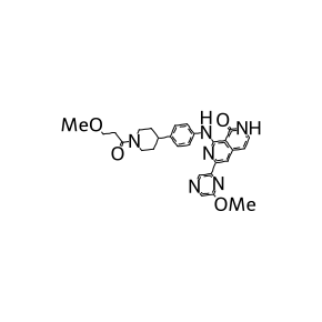 COCCC(=O)N1CCC(c2ccc(Nc3nc(-c4cncc(OC)n4)cc4cc[nH]c(=O)c34)cc2)CC1